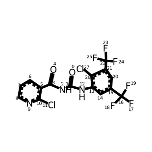 O=C(NC(=O)c1cccnc1Cl)Nc1cc(C(F)(F)F)cc(C(F)(F)F)c1Cl